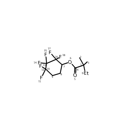 CCC(C)(C)C(=O)OC1CCC(F)(F)C(F)(F)C1(F)F